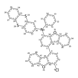 Clc1ccc(-c2ccc(N(c3ccccc3)c3ccc4c(c3)Sc3ccccc3S4)c3oc4ccccc4c23)c2c1oc1ccccc12